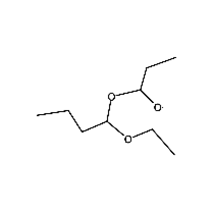 CCCC(OCC)OC([O])CC